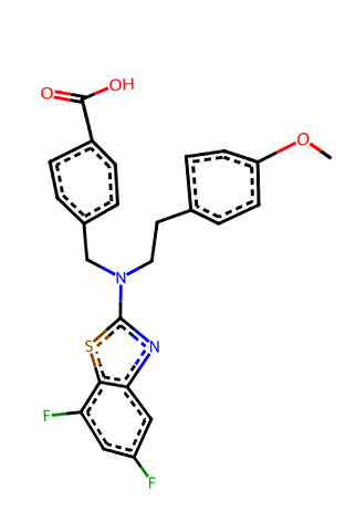 COc1ccc(CCN(Cc2ccc(C(=O)O)cc2)c2nc3cc(F)cc(F)c3s2)cc1